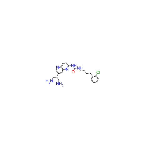 N/C=C(\CN)c1cnc2ccc(NC(=O)NCCCCc3ccccc3Cl)nc2c1